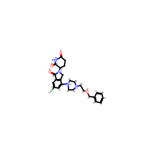 O=C1CCC(N2Cc3c(cc(F)cc3N3CCN(CCOCc4ccccc4)CC3)C2=O)C(=O)N1